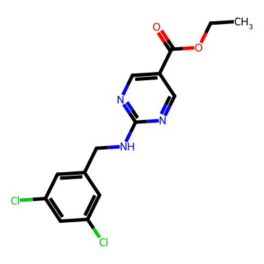 CCOC(=O)c1cnc(NCc2cc(Cl)cc(Cl)c2)nc1